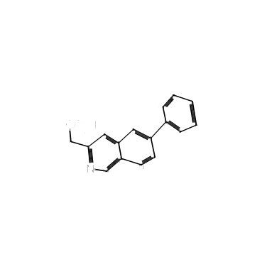 O=C(O)Cc1cc2cc(-c3ccccc3)ccc2cn1